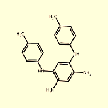 Cc1ccc(Nc2cc(Nc3ccc(C)cc3)c(N)cc2N)cc1